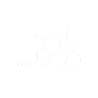 C=CC(C)=C(C1=C(C)CCCC1(C)C)c1ccc(C(=O)OCC)cc1OCC